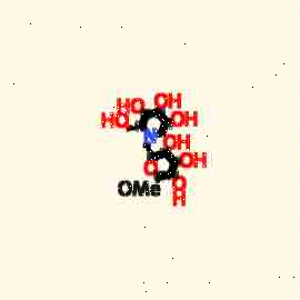 CO[C@@H]1O[C@H](CN2C[C@H](O)[C@@H](O)[C@H](O)[C@H]2CO)[C@@H](O)[C@H](O)[C@H]1O